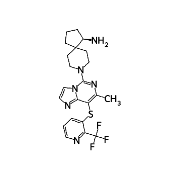 Cc1nc(N2CCC3(CCC[C@H]3N)CC2)n2ccnc2c1Sc1cccnc1C(F)(F)F